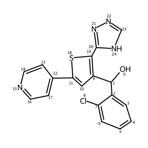 OC(c1ccccc1Cl)c1cc(-c2ccncc2)sc1-c1nnc[nH]1